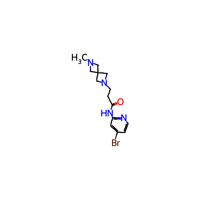 CN1CC2(C1)CN(CCC(=O)Nc1cc(Br)ccn1)C2